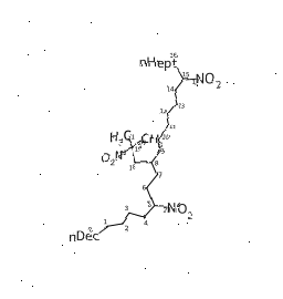 CCCCCCCCCCCCCCC(CCC(CCCCCCC(CCCCCCC)[N+](=O)[O-])CC(C)(C)[N+](=O)[O-])[N+](=O)[O-]